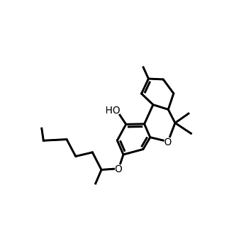 CCCCCC(C)Oc1cc(O)c2c(c1)OC(C)(C)C1CCC(C)=CC21